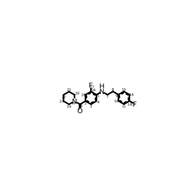 O=C(c1ccc(NCCc2ccc(F)cc2)c(F)c1)N1CCCCC1